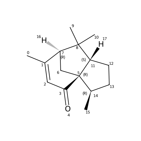 CC1=CC(=O)[C@@]23C[C@@H]1C(C)(C)[C@@H]2CC[C@H]3C